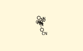 CC(C)S(=O)(=O)c1ccccc1-n1nccc1NN=Cc1ccc(C#N)cc1